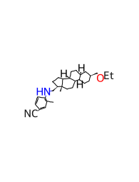 CCOC[C@H]1CC[C@@H]2C3CC[C@@]4(C)C(CC[C@@H]4CNc4ccc(C#N)cc4C)[C@@H]3CC[C@@H]2C1